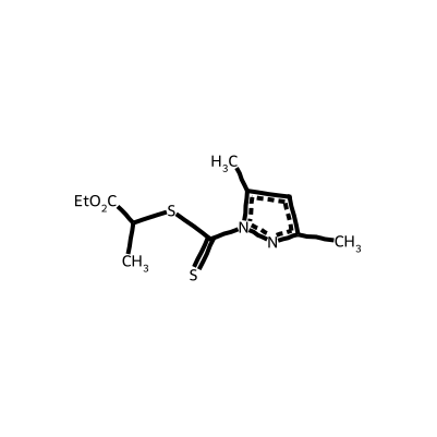 CCOC(=O)C(C)SC(=S)n1nc(C)cc1C